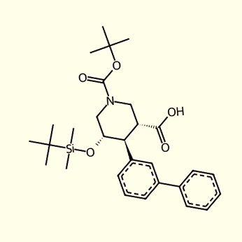 CC(C)(C)OC(=O)N1C[C@H](C(=O)O)[C@@H](c2cccc(-c3ccccc3)c2)[C@H](O[Si](C)(C)C(C)(C)C)C1